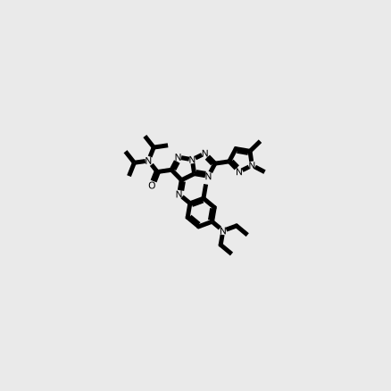 CCN(CC)c1ccc(/N=C2/C(C(=O)N(C(C)C)C(C)C)=Nn3nc(-c4cc(C)n(C)n4)nc32)c(C)c1